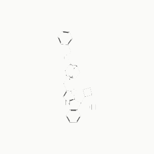 O[C@](c1ccccc1)(c1ncc(C[N+]23CCC(CC2)C(OCc2ccccc2)C3)o1)C1CCC1